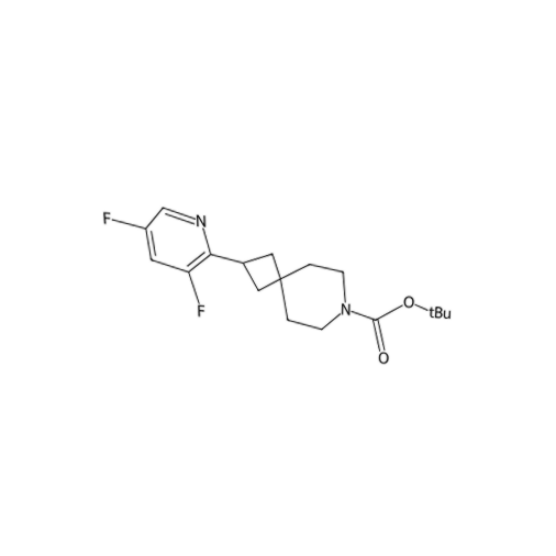 CC(C)(C)OC(=O)N1CCC2(CC1)CC(c1ncc(F)cc1F)C2